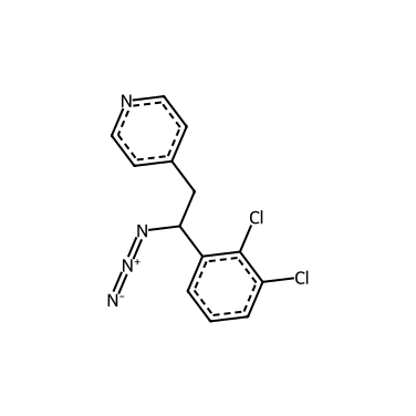 [N-]=[N+]=NC(Cc1ccncc1)c1cccc(Cl)c1Cl